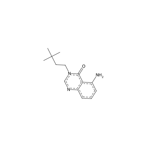 CC(C)(C)CCn1cnc2cccc(N)c2c1=O